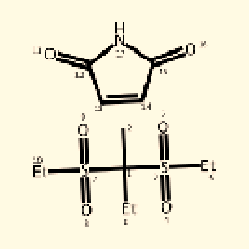 CCC(C)(S(=O)(=O)CC)S(=O)(=O)CC.O=C1C=CC(=O)N1